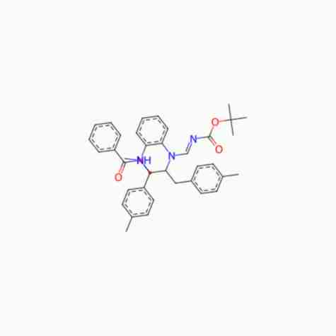 Cc1ccc(CC(CNC(=O)c2ccccc2)N(C=NC(=O)OC(C)(C)C)c2ccccc2N(C)Cc2ccc(C)cc2)cc1